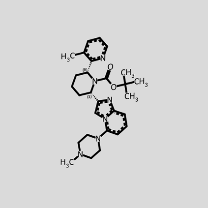 Cc1cccnc1[C@H]1CCC[C@@H](c2cn3c(N4CCN(C)CC4)cccc3n2)N1C(=O)OC(C)(C)C